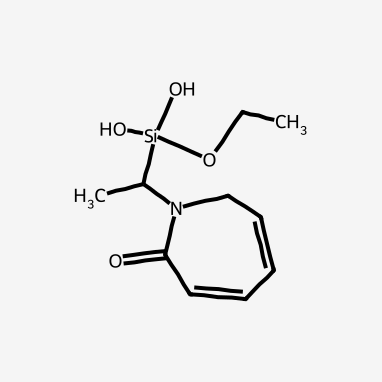 CCO[Si](O)(O)C(C)N1CC=CC=CC1=O